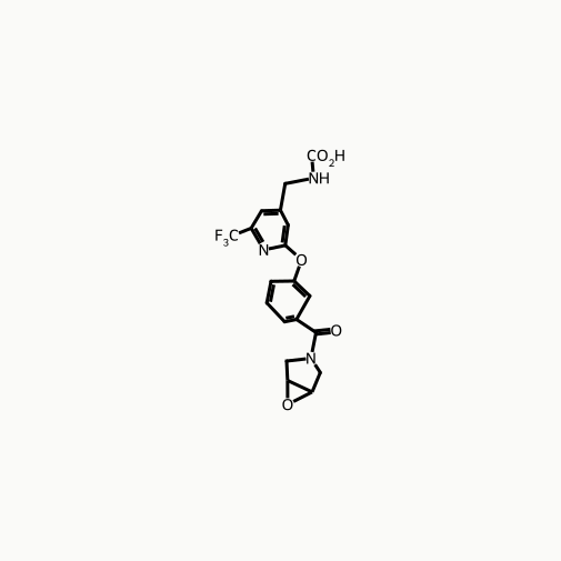 O=C(O)NCc1cc(Oc2cccc(C(=O)N3CC4OC4C3)c2)nc(C(F)(F)F)c1